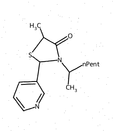 CCCCCC(C)N1C(=O)C(C)SC1c1cccnc1